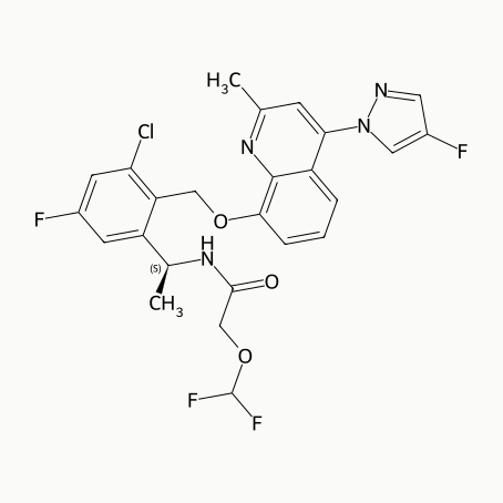 Cc1cc(-n2cc(F)cn2)c2cccc(OCc3c(Cl)cc(F)cc3[C@H](C)NC(=O)COC(F)F)c2n1